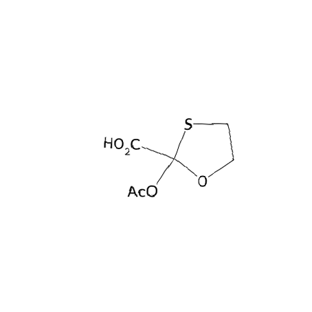 CC(=O)OC1(C(=O)O)OCCS1